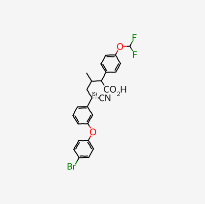 CC(C[C@H](C#N)c1cccc(Oc2ccc(Br)cc2)c1)C(C(=O)O)c1ccc(OC(F)F)cc1